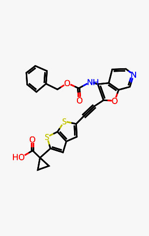 O=C(Nc1c(C#Cc2cc3cc(C4(C(=O)O)CC4)sc3s2)oc2cnccc12)OCc1ccccc1